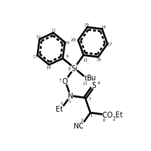 CCOC(=O)C(C#N)C(=S)N(CC)O[Si](c1ccccc1)(c1ccccc1)C(C)(C)C